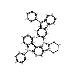 c1ccc(-n2c3ccccc3c3cc(-n4c5c(c6ccc7c(c8ccccc8n7-c7ccccc7)c64)CCCC5)ccc32)cc1